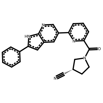 N#C[C@H]1CCN(C(=O)c2cccc(-c3cnc4[nH]c(-c5ccccc5)cc4c3)n2)C1